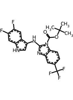 CC(C)(C)OC(=O)n1c(Nc2c[nH]c3cc(F)c(F)cc23)nc2cc(C(F)(F)F)ccc21